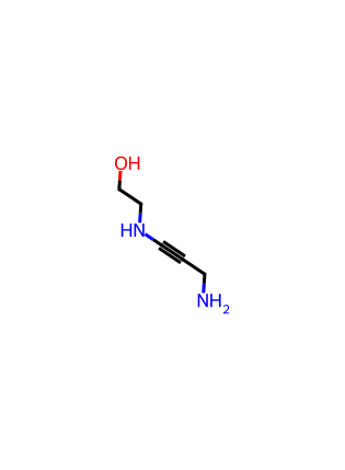 NCC#CNCCO